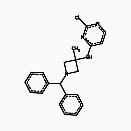 CC1(Nc2ccnc(Cl)n2)CN(C(c2ccccc2)c2ccccc2)C1